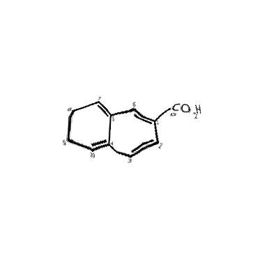 O=C(O)c1ccc2c(c1)=CCCC=2